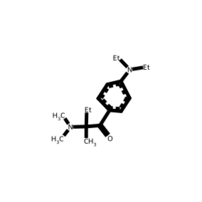 CCN(CC)c1ccc(C(=O)C(C)(CC)N(C)C)cc1